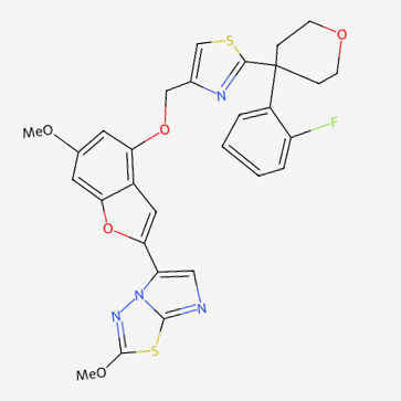 COc1cc(OCc2csc(C3(c4ccccc4F)CCOCC3)n2)c2cc(-c3cnc4sc(OC)nn34)oc2c1